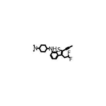 CC#Cc1sc2c(NC3CCC(N(C)C)CC3)cccc2c1CC(F)F